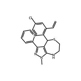 C=Cc1cc(Cl)ccc1C1SCCNc2c1c(-c1ccccn1)nn2C